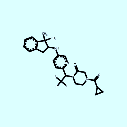 CC1(C)c2ccccc2CC1Nc1ccc(C(N2CCN(C(=O)C3CC3)CC2=O)C(F)(F)F)nc1